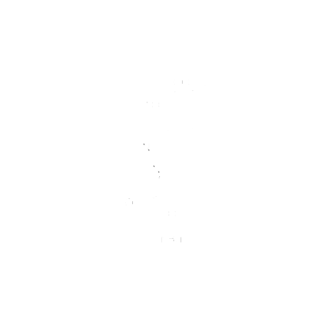 CCCCOC(=O)N1CCC(OC(=O)OCC)=N1